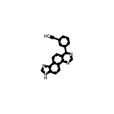 C#Cc1cccc(-c2ncnc3c2ccc2c3ccc3[nH]cnc32)c1